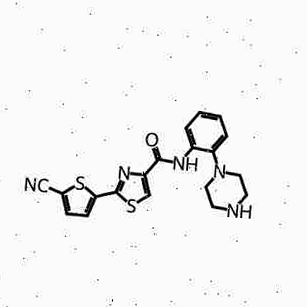 N#Cc1ccc(-c2nc(C(=O)Nc3ccccc3N3CCNCC3)cs2)s1